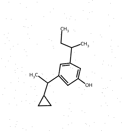 CCC(C)c1cc(O)cc(C(C)C2CC2)c1